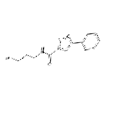 CC(C)(C)CCCNC(=O)c1cc(-c2ccccc2)on1